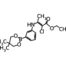 CCOC(=O)C(Cl)=C(C)Nc1cccc(B2OCC(C)(C)CO2)c1